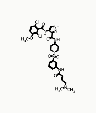 COc1ccc(Cl)c(C(=O)Nc2c[nH]nc2C(=O)NC2CCN(S(=O)(=O)c3cccc(NC(=O)C=CCN(C)C)c3)CC2)c1Cl